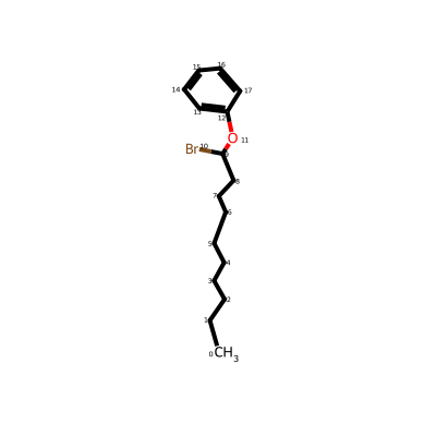 CCCCCCCCCC(Br)Oc1ccccc1